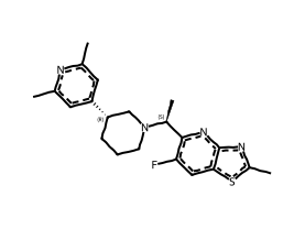 Cc1cc([C@H]2CCCN([C@@H](C)c3nc4nc(C)sc4cc3F)C2)cc(C)n1